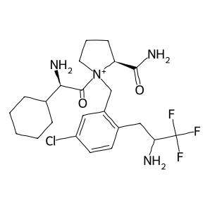 NC(=O)[C@@H]1CCC[N+]1(Cc1cc(Cl)ccc1CC(N)C(F)(F)F)C(=O)[C@H](N)C1CCCCC1